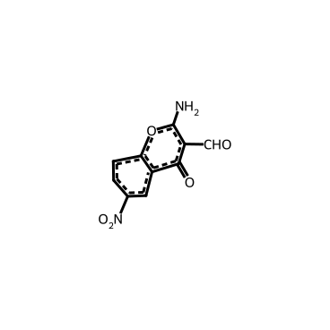 Nc1oc2ccc([N+](=O)[O-])cc2c(=O)c1C=O